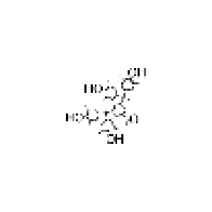 CC(=O)c1cc(C(C)(c2cc(C)c(O)c(C)c2)c2cc(C)c(O)c(C)c2)cc(C(C)(c2cc(C)c(O)c(C)c2)c2cc(C)c(O)c(C)c2)c1